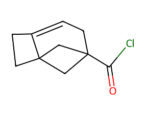 O=C(Cl)C12CC=C3CCC3(C1)C2